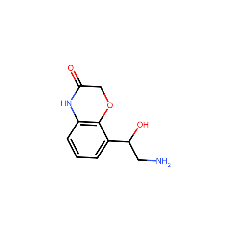 NCC(O)c1cccc2c1OCC(=O)N2